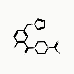 CCC(=O)N1CCN(C(=O)c2cc(C[SH]3C=CC=C3)ccc2F)CC1